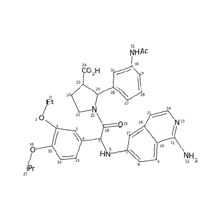 CCOc1cc(C(Nc2ccc3c(N)nccc3c2)C(=O)N2CCC(C(=O)O)C2c2cccc(NC(C)=O)c2)ccc1OC(C)C